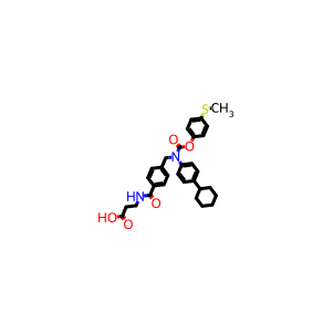 CSc1ccc(OC(=O)N(Cc2ccc(C(=O)NCCC(=O)O)cc2)c2ccc(C3CCCCC3)cc2)cc1